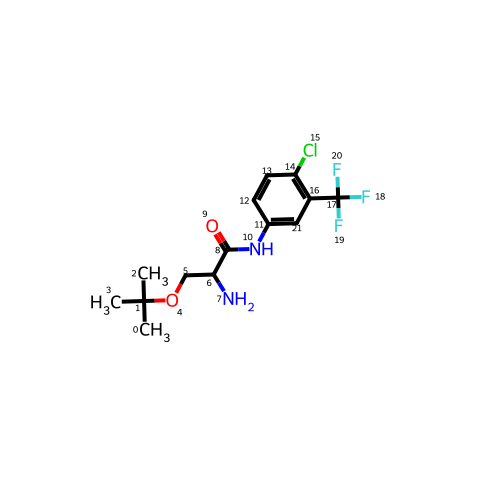 CC(C)(C)OCC(N)C(=O)Nc1ccc(Cl)c(C(F)(F)F)c1